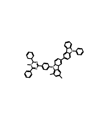 Cc1cc(C)c2c(c1)C1C=C(c3ccc4c(c3)c3ccccc3n4-c3ccccc3)C=CC1N2c1ccc(C2=NC(C3C=CC=CC3)N(C)C(c3ccccc3)=N2)cc1